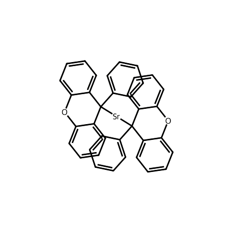 c1ccc([C]2([Sr][C]3(c4ccccc4)c4ccccc4Oc4ccccc43)c3ccccc3Oc3ccccc32)cc1